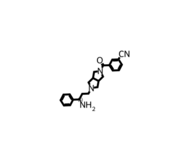 N#Cc1cccc(C(=O)N2CC3CN(CC[C@H](N)c4ccccc4)CC3C2)c1